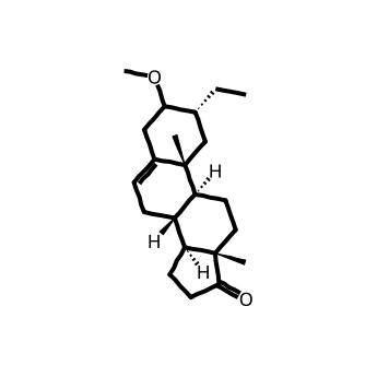 CC[C@@H]1C[C@@]2(C)C(=CC[C@@H]3[C@@H]2CC[C@]2(C)C(=O)CC[C@@H]32)CC1OC